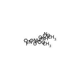 COc1cc(NC(=O)c2cc(C(=O)Nc3ccc(-c4ccccc4F)nc3)ccc2OC)ccn1